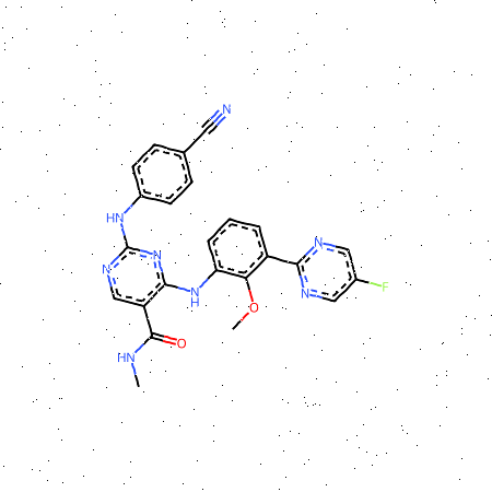 CNC(=O)c1cnc(Nc2ccc(C#N)cc2)nc1Nc1cccc(-c2ncc(F)cn2)c1OC